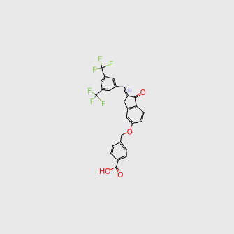 O=C(O)c1ccc(COc2ccc3c(c2)C/C(=C\c2cc(C(F)(F)F)cc(C(F)(F)F)c2)C3=O)cc1